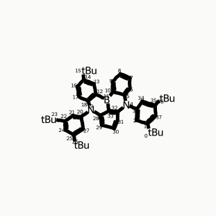 CC(C)(C)c1cc(N2c3ccccc3B3c4cc(C(C)(C)C)ccc4N(c4cc(C(C)(C)C)cc(C(C)(C)C)c4)c4cccc2c43)cc(C(C)(C)C)c1